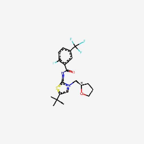 CC(C)(C)c1cn(C[C@H]2CCCO2)c(=NC(=O)c2cc(C(F)(F)F)ccc2F)s1